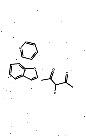 CC(=O)[CH]([Ir])C(C)=O.c1ccc2sccc2c1.c1ccncc1